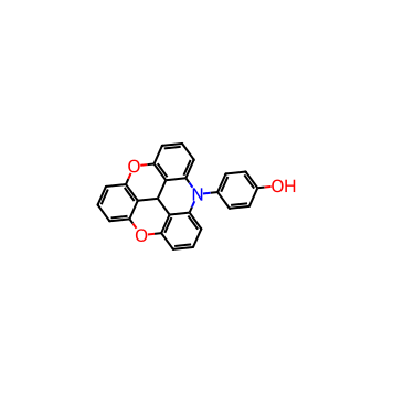 Oc1ccc(N2c3cccc4c3C3c5c(cccc5Oc5cccc2c53)O4)cc1